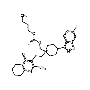 CCCCOC(=O)OC[N+]1(CCc2c(C)nc3n(c2=O)CCCC3)CCC(c2noc3cc(F)ccc23)CC1